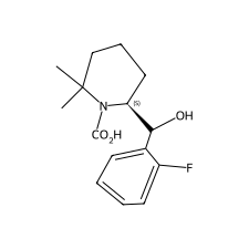 CC1(C)CCC[C@@H](C(O)c2ccccc2F)N1C(=O)O